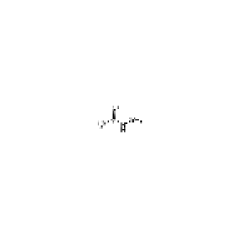 BNC(B)=O